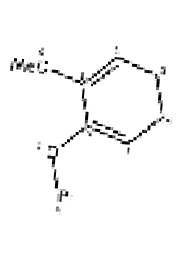 COC1=CC[CH]C=C1OC(C)C